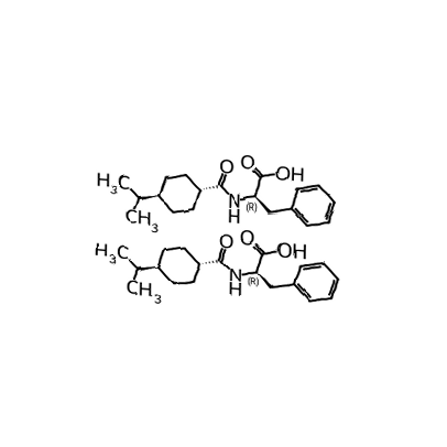 CC(C)[C@H]1CC[C@H](C(=O)N[C@H](Cc2ccccc2)C(=O)O)CC1.CC(C)[C@H]1CC[C@H](C(=O)N[C@H](Cc2ccccc2)C(=O)O)CC1